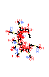 CCCCOC1OC(CSCC(NC)C(=O)O)C(OC2OC(CSCC(NC)C(=O)O)C(OC3OC(CSCC(NC)C(=O)O)C(OC4OC(CSCC(NC)C(=O)O)C(OC5OC(CSCC(NC)C(=O)O)C(OC6OC(CSCC(NC)C(=O)O)C(OC7OC(CSCC(NC)C(=O)O)C(OC8OC(CSCC(NC)C(=O)O)CC(O)C8O)C(O)C7O)C(O)C6O)C(O)C5O)C(O)C4O)C(O)C3O)C(O)C2O)C(O)C1O